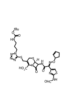 CC(C)(C)OC(=O)NCCCn1nnnc1SCC1=C(C(=O)O)N2C(=O)C(NC(=O)C(=NOC3C=CCC3)c3csc(NC=O)n3)[C@@H]2SC1